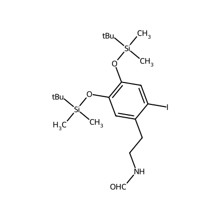 CC(C)(C)[Si](C)(C)Oc1cc(I)c(CCNC=O)cc1O[Si](C)(C)C(C)(C)C